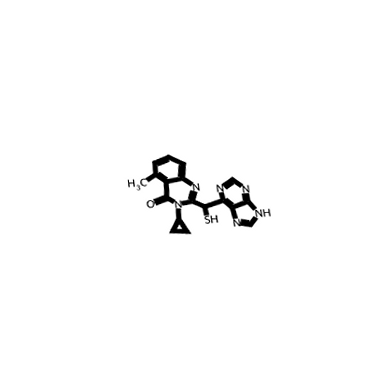 Cc1cccc2nc(C(S)c3ncnc4[nH]cnc34)n(C3CC3)c(=O)c12